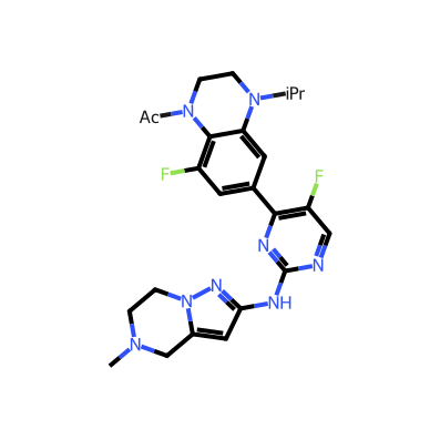 CC(=O)N1CCN(C(C)C)c2cc(-c3nc(Nc4cc5n(n4)CCN(C)C5)ncc3F)cc(F)c21